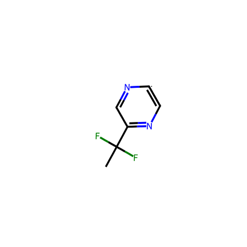 CC(F)(F)c1cn[c]cn1